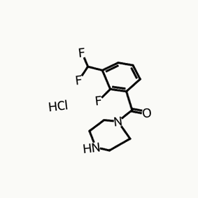 Cl.O=C(c1cccc(C(F)F)c1F)N1CCNCC1